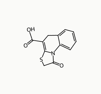 O=C(O)C1=C2SCC(=O)N2c2ccccc2C1